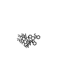 [2H]c1c([2H])c([2H])c(-c2nc(-n3c4ccccc4c4c5c6ccccc6sc5c5ccccc5c43)nc3ncccc23)c([2H])c1[2H]